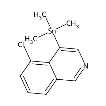 [CH3][Sn]([CH3])([CH3])[c]1cncc2cccc(Cl)c12